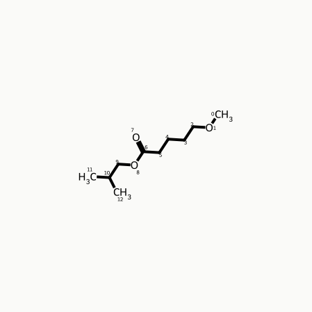 COCCCCC(=O)OCC(C)C